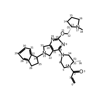 C=CC(=O)N1CCN(c2nc(OC[C@@H]3CCCN3C)nc3c2CN(C2CCc4ccccc42)C3)C[C@@H]1C